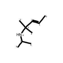 CC=CC(C)(C)NC(C)C